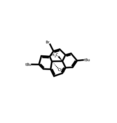 CC(C)(C)C1=CC2=CC=C3C=C(C(C)(C)C)C=C4C(Br)=CC(=C1)[C@@]2(C)[C@@]34C